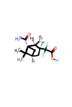 C[C@H]1[C@@H](C(F)(F)C(=O)OF)C[C@@H]2C[C@@]1(C(N)=O)C2(C)C